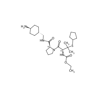 CCOC(=O)N[C@@H](C(=O)N1CCC[C@H]1C(=O)NC[C@H]1CC[C@H](N)CC1)C(C)(C)SC1CCCC1